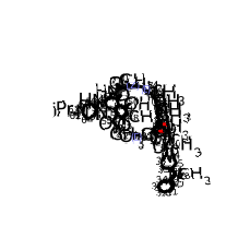 C/C1=C/C=C/[C@H](C)[C@H](O)[C@@H](C)[C@@H](O)[C@@H](C)[C@H](OC(=O)C(C)C(=O)N2CCC(N(C)c3ccccc3)CC2)[C@H](C)C/C=C/O[C@@]2(C)Oc3c(C)c(O)c4c(c3C2=O)C2=NC3(CCN(CC(C)C)CC3)NC2=C(NC1=O)C4=O